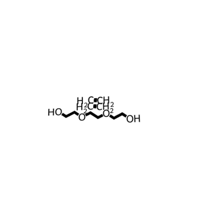 C=C.C=C.OCCOCCOCCO